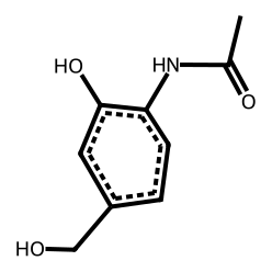 CC(=O)Nc1ccc(CO)cc1O